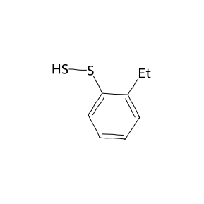 CCc1ccccc1SS